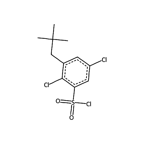 CC(C)(C)Cc1cc(Cl)cc(S(=O)(=O)Cl)c1Cl